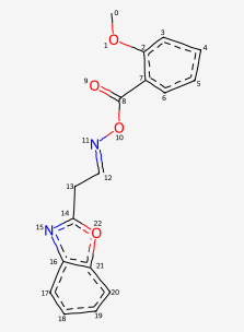 COc1ccccc1C(=O)ON=CCc1nc2ccccc2o1